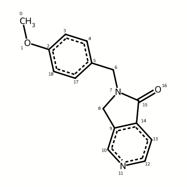 COc1ccc(CN2Cc3cnccc3C2=O)cc1